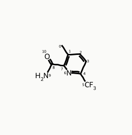 Cc1ccc(C(F)(F)F)nc1C(N)=O